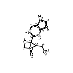 O=P12COC1(c1ncc3[nH]cnc3n1)C2CO